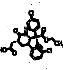 CCOC(=O)[C@@](c1ccc(Cl)cc1)(C1CC1)[C@H]1NC(=O)[C@@H](CC(=O)O)C[C@@H]1c1cccc(Cl)c1